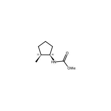 COC(=O)N[C@@H]1CCC[C@@H]1C